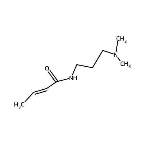 C/C=C/C(=O)NCCCN(C)C